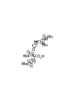 C[n+]1c2ccc(OC[C@H](O/N=C(\C(=O)O)c3csc(NC(=O)OC(C)(C)C)n3)C(=O)OC(C)(C)C)cc2cn1C[C@@H](CNC(=O)OC(C)(C)C)O[Si](C)(C)C(C)(C)C